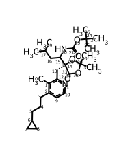 Cc1c(CCCC2CC2)ccnc1C[C@]1(C(CC(C)C)NC(=O)OC(C)(C)C)OC(C)(C)OC1=O